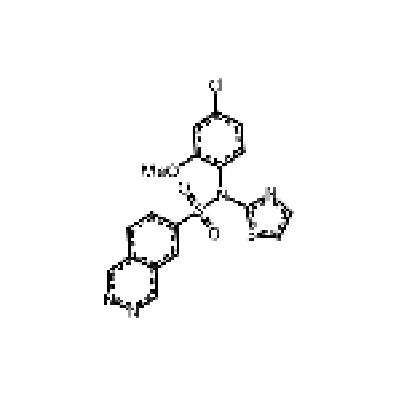 COc1cc(Cl)ccc1N(c1nccs1)S(=O)(=O)c1ccc2cnncc2c1